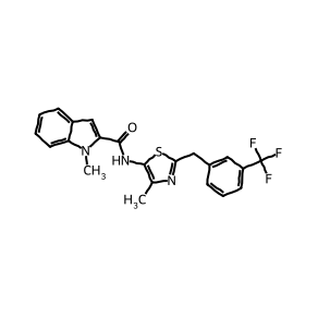 Cc1nc(Cc2cccc(C(F)(F)F)c2)sc1NC(=O)c1cc2ccccc2n1C